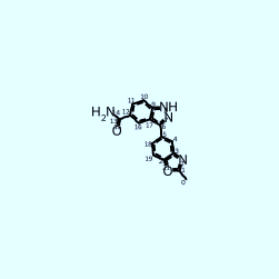 Cc1nc2cc(-c3n[nH]c4ccc(C(N)=O)cc34)ccc2o1